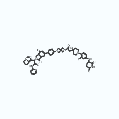 O=C1CCC(Nc2ccc(N3CCC(O)(CC(=O)N4CC5(C4)CN(c4ccc(-c6cc(F)c7c(c6)C(=O)N(C(C(=O)Nc6ccccn6)c6ncn8c6CCC8)C7)cc4)C5)CC3)c(F)c2)C(=O)N1